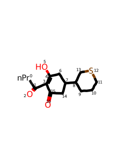 CCCC(=O)C1=C(O)CC(C2CCCSC2)CC1=O